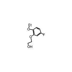 CCOc1ccc(F)cc1OCCO